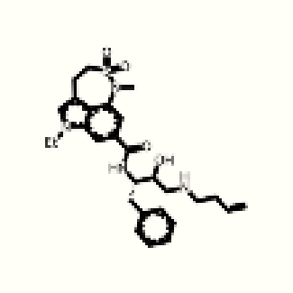 C=CCCNCC(O)[C@H](Cc1ccccc1)NC(=O)c1cc2c3c(cn(CC)c3c1)CCS(=O)(=O)N2C